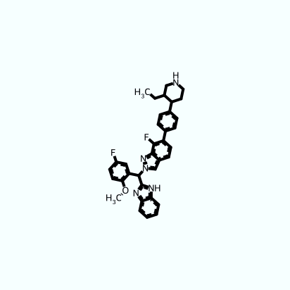 CCC1CNCCC1c1ccc(-c2ccc3cn(C(c4nc5ccccc5[nH]4)c4cc(F)ccc4OC)nc3c2F)cc1